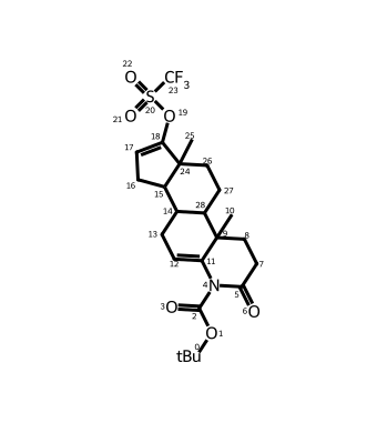 CC(C)(C)OC(=O)N1C(=O)CCC2(C)C1=CCC1C3CC=C(OS(=O)(=O)C(F)(F)F)C3(C)CCC12